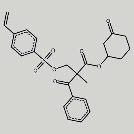 C=Cc1ccc(S(=O)(=O)OCC(C)(C(=O)OC2CCCC(=O)C2)C(=O)c2ccccc2)cc1